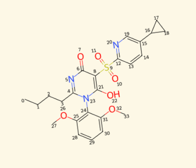 CCCCc1nc(=O)c(S(=O)(=O)c2ccc(C3CC3)cn2)c(O)n1-c1c(OC)cccc1OC